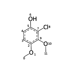 COc1ccc(O)c(Cl)c1OC